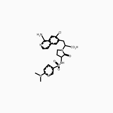 CN(C)c1ccc(S(=O)(=O)NC2CCN(C(Cc3cc4ccnc(N)c4cc3Cl)C(=O)O)C2=O)cn1